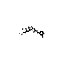 CN(CC(=O)OCc1cccc(Cl)c1)NC(=O)C[C@@H](N)CCN